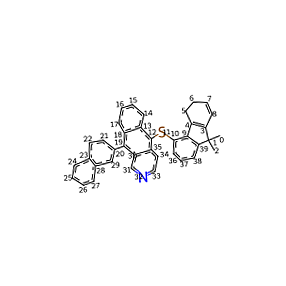 CC1(C)C2=C(CCC=C2)c2c(Sc3c4ccccc4c(-c4ccc5ccccc5c4)c4cnccc34)cccc21